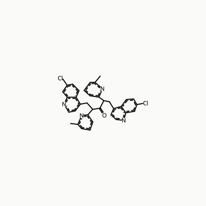 Cc1cccc(C(Cc2ccnc3cc(Cl)ccc23)C(=O)C(Cc2ccnc3cc(Cl)ccc23)c2cccc(C)n2)n1